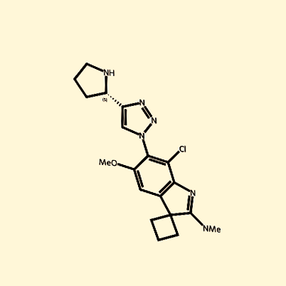 CNC1=Nc2c(cc(OC)c(-n3cc([C@@H]4CCCN4)nn3)c2Cl)C12CCC2